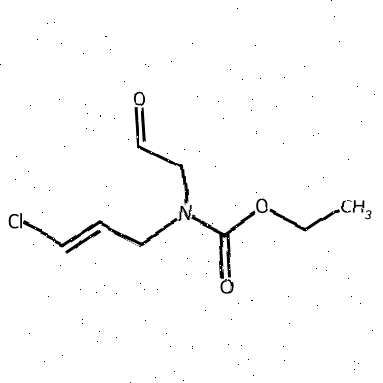 CCOC(=O)N(CC=O)CC=CCl